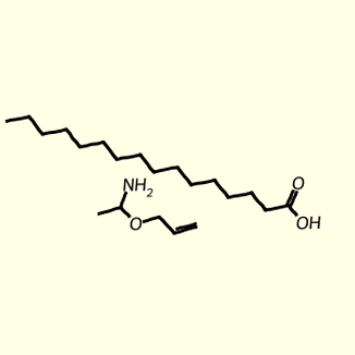 C=CCOC(C)N.CCCCCCCCCCCCCCCC(=O)O